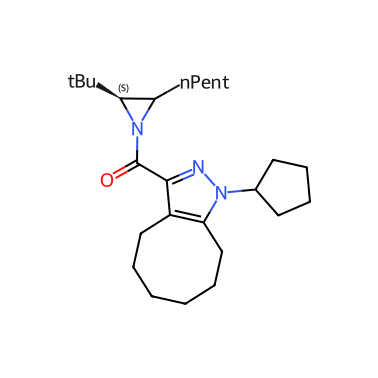 CCCCCC1[C@H](C(C)(C)C)N1C(=O)c1nn(C2CCCC2)c2c1CCCCCC2